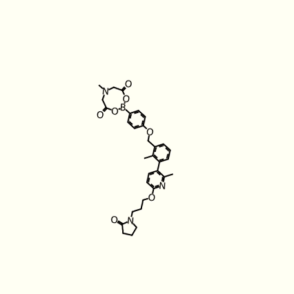 Cc1nc(OCCCN2CCCC2=O)ccc1-c1cccc(COc2ccc(B3OC(=O)CN(C)CC(=O)O3)cc2)c1C